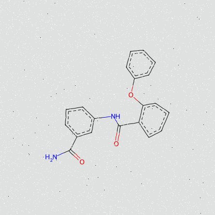 NC(=O)c1cccc(NC(=O)c2ccccc2Oc2ccccc2)c1